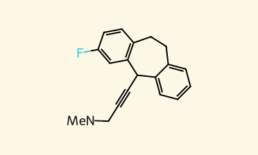 CNCC#CC1c2ccccc2CCc2ccc(F)cc21